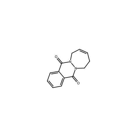 O=c1c2ccccc2c(=O)n2n1CC=CCC2